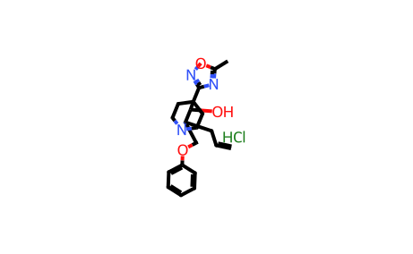 C=CCC1(COc2ccccc2)C(O)C2(c3noc(C)n3)CCN1CC2.Cl